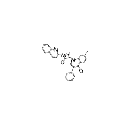 Cc1ccc2c(=O)c(-c3ccccc3)cn(CC(=O)Nc3ccc4ccccc4n3)c2c1